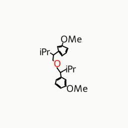 COc1cccc(C(COCC(c2cccc(OC)c2)C(C)C)C(C)C)c1